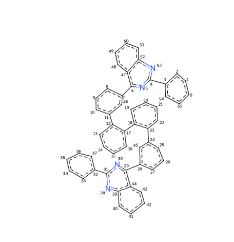 c1ccc(-c2nc(-c3cccc(-c4ccccc4-c4ccccc4-c4cccc(-c5nc(-c6ccccc6)nc6ccccc56)c4)c3)c3ccccc3n2)cc1